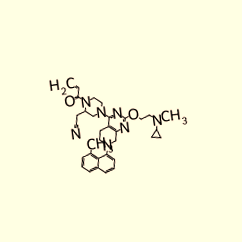 C=CC(=O)N1CCN(c2nc(OCCN(C)C3CC3)nc3c2CCN(c2cccc4cccc(C)c24)C3)CC1CC#N